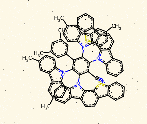 Cc1cc(C)cc(-c2c(-n3c4ccc(C)cc4c4cc(C)ccc43)c(-n3c4ccccc4c4ccc5c6ccccc6sc5c43)c(C#N)c(-n3c4ccccc4c4ccc5c6ccccc6sc5c43)c2-n2c3ccc(C)cc3c3cc(C)ccc32)c1